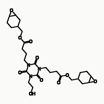 O=C(CCCn1c(=O)n(CCO)c(=O)n(CCCC(=O)OCC2CCC3OC3C2)c1=O)OCC1CCC2OC2C1